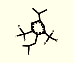 CC(C)Cc1c(C(F)(F)F)cc(C(C)C)cc1C(F)(F)F